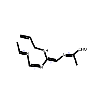 C=CCNC(=C\N=C(/C)C=O)/N=C\N=C\C